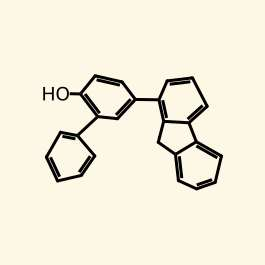 Oc1ccc(-c2cccc3c2Cc2ccccc2-3)cc1-c1ccccc1